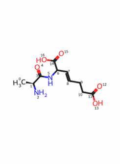 C[C@H](N)C(=O)NC(/C=C/CCC(=O)O)C(=O)O